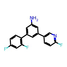 Nc1cc(-c2ccc(F)nc2)cc(-c2ccc(F)cc2F)c1